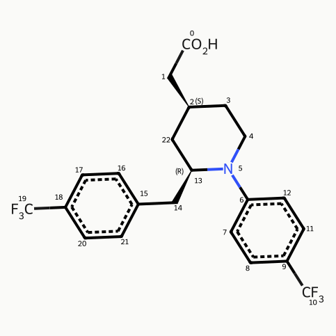 O=C(O)C[C@H]1CCN(c2ccc(C(F)(F)F)cc2)[C@@H](Cc2ccc(C(F)(F)F)cc2)C1